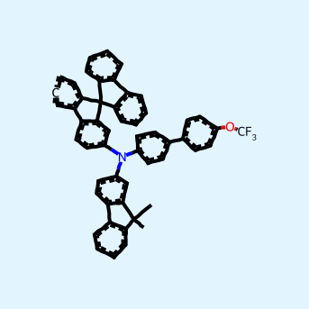 CC1(C)c2ccccc2-c2ccc(N(c3ccc(-c4ccc(OC(F)(F)F)cc4)cc3)c3ccc4c(c3)C3(c5ccccc5-c5ccccc53)c3ccccc3-4)cc21